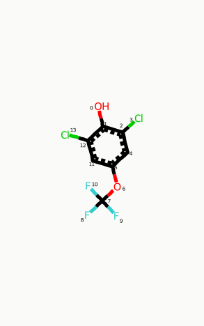 Oc1c(Cl)cc(OC(F)(F)F)cc1Cl